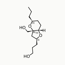 CCC[C@H]1CC[C@@H]2O[C@@H](CCCO)C[C@]2(CO)O1